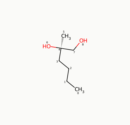 CCCC[C@@](C)(O)CO